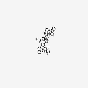 CC1(C)c2cc3c(cc2-c2ccc4ccccc4c21)C(C)(C)c1c-3ccc2cc(N(c3ccccc3F)c3cccc4c3oc3ccccc34)ccc12